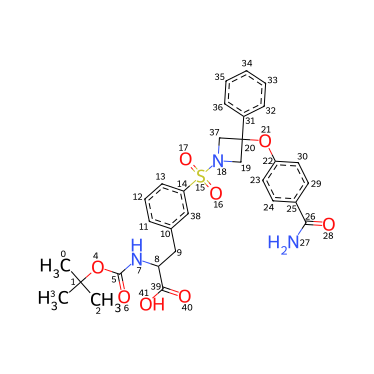 CC(C)(C)OC(=O)NC(Cc1cccc(S(=O)(=O)N2CC(Oc3ccc(C(N)=O)cc3)(c3ccccc3)C2)c1)C(=O)O